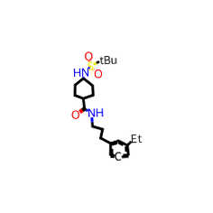 CCc1cccc(CCCNC(=O)C2CCC(NS(=O)(=O)C(C)(C)C)CC2)c1